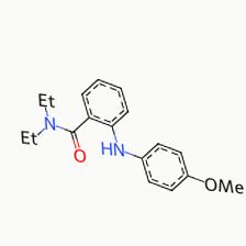 CCN(CC)C(=O)c1ccccc1Nc1ccc(OC)cc1